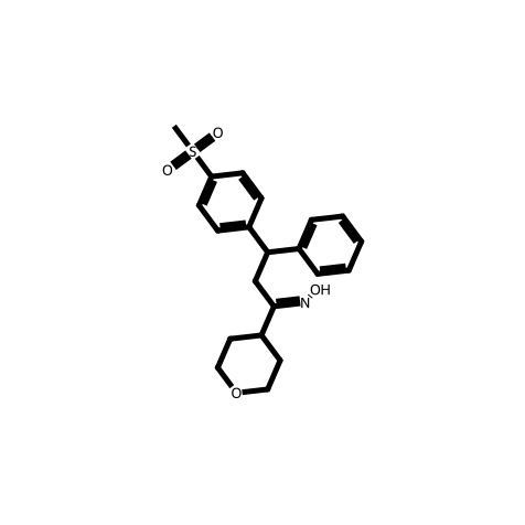 CS(=O)(=O)c1ccc(C(C/C(=N\O)C2CCOCC2)c2ccccc2)cc1